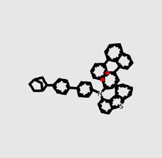 c1ccc(-c2cccc3cccc(-c4ccc(N(c5ccc(-c6ccc(C7CC8CCC7C8)cc6)cc5)c5cccc6sc7ccccc7c56)cc4)c23)cc1